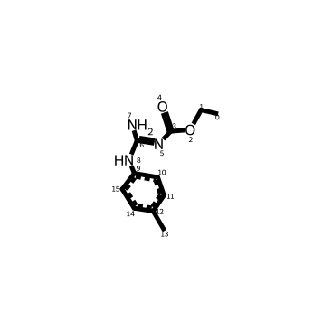 CCOC(=O)N=C(N)Nc1ccc(C)cc1